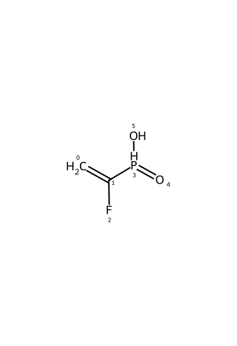 C=C(F)[PH](=O)O